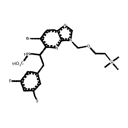 C[Si](C)(C)CCOCn1cnc2cc(Br)c(C(Cc3cc(F)cc(F)c3)NC(=O)O)nc21